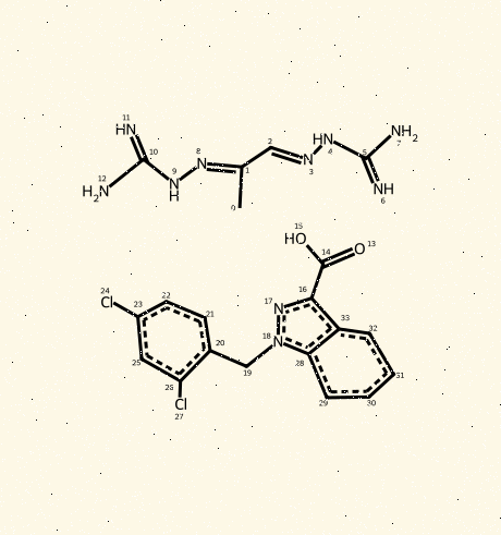 CC(/C=N/NC(=N)N)=N\NC(=N)N.O=C(O)c1nn(Cc2ccc(Cl)cc2Cl)c2ccccc12